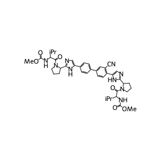 COC(=O)NC(C(=O)N1CCCC1c1ncc(-c2ccc(-c3ccc(-c4cnc(C5CCCN5C(=O)C(NC(=O)OC)C(C)C)[nH]4)c(C#N)c3)cc2)[nH]1)C(C)C